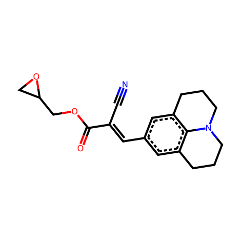 N#C/C(=C\c1cc2c3c(c1)CCCN3CCC2)C(=O)OCC1CO1